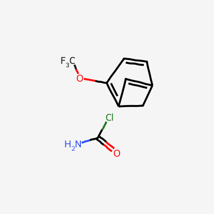 FC(F)(F)Oc1ccc2cc1C2.NC(=O)Cl